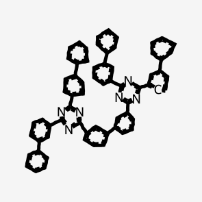 c1ccc(-c2ccc(-c3nc(-c4cccc(-c5ccccc5)c4)nc(-c4cccc(-c5cccc(-c6nc(-c7cccc(-c8ccccc8)c7)nc(-c7cccc(-c8ccccc8)c7)n6)c5)c4)n3)cc2)cc1